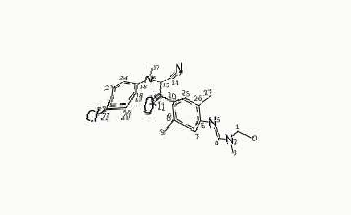 CCN(C)C=Nc1cc(C)c(C(=O)C(C#N)N(C)c2ccc(Cl)cc2)cc1C